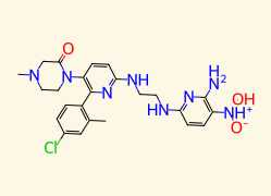 Cc1cc(Cl)ccc1-c1nc(NCCNc2ccc([NH+]([O-])O)c(N)n2)ccc1N1CCN(C)CC1=O